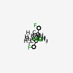 CC1=[C]([Zr]([CH3])([CH3])(=[GeH2])[C]2=C(C)C(c3cccc(F)c3)=CC2C)C(C)C=C1c1cccc(F)c1.Cl.Cl